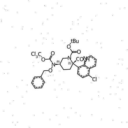 CC(C)(C)OC(=O)N1C[C@H](N(OCc2ccccc2)C(=O)OC(Cl)(Cl)Cl)CC[C@@]1(C(=O)O)c1ccc(Cl)c2cccnc12